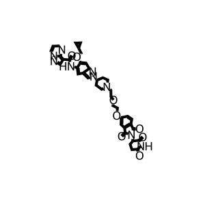 O=C1CCC(N2C(=O)c3ccc(OCCOCCN4CCC(n5cc6cc(NC(=O)c7cnn8cccnc78)c(OCC7CC7)cc6n5)CC4)cc3C2=O)C(=O)N1